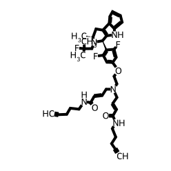 C#CCCCNC(=O)/C=C/CN(C/C=C/C(=O)NCCCC#C)CCOc1cc(F)c([C@@H]2c3[nH]c4ccccc4c3C[C@@H](C)N2CC(C)(C)F)c(F)c1